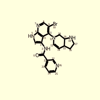 O=C(Nc1c[nH]c2ncc(Br)c(N3C=CC4CCNC4C3)c12)c1cccnc1